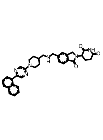 O=C1CCC(N2Cc3cc(CNCC4CCN(c5cnc(-c6cccc7ccccc67)cn5)CC4)ccc3C2=O)C(=O)N1